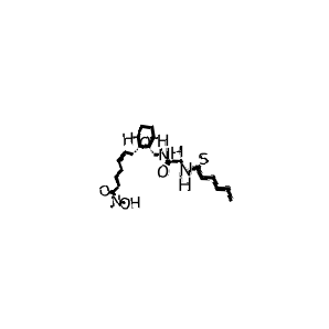 CCCCCC(=S)NCC(=O)NC[C@@H]1[C@H](C/C=C\CCCC(=O)N(C)O)[C@@H]2CC[C@H]1O2